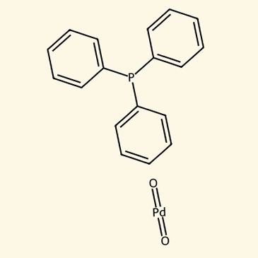 [O]=[Pd]=[O].c1ccc(P(c2ccccc2)c2ccccc2)cc1